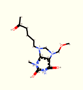 COCN1CN(CCCCC(C)=O)c2c1c(=O)[nH]c(=O)n2C